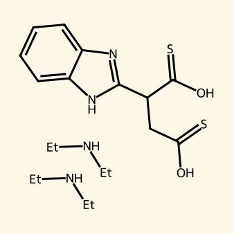 CCNCC.CCNCC.OC(=S)CC(C(O)=S)c1nc2ccccc2[nH]1